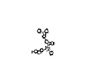 Fc1ccc2c(ccc3cc(-c4nc(-c5ccccc5)nc(-n5c6ccccc6c6cc(-c7ccc8c(c7)c7ccccc7n8-c7ccccc7)ccc65)n4)ccc32)c1